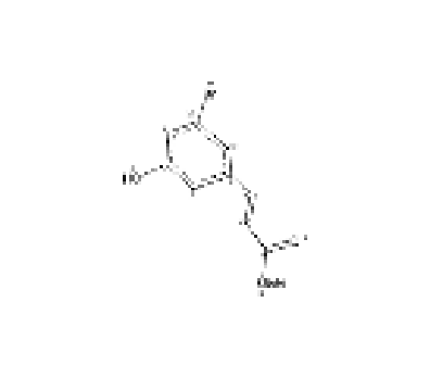 COC(=O)C=Cc1cc(O)cc(Br)c1